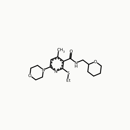 CCSc1nc(N2CCOCC2)cc(C)c1C(=O)NCC1CCCCO1